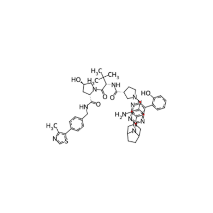 Cc1ncsc1-c1ccc(CNC(=O)[C@@H]2C[C@@H](O)CN2C(=O)[C@@H](NC(=O)[C@@H]2CCN(Cc3cnc(N4C5CCC4CN(c4cc(-c6ccccc6O)nnc4N)C5)nc3)C2)C(C)(C)C)cc1